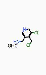 O=CNCc1cncc(Cl)c1CCl